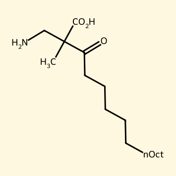 CCCCCCCCCCCCCC(=O)C(C)(CN)C(=O)O